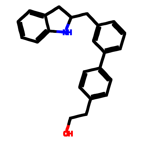 OCCc1ccc(-c2cccc(CC3Cc4ccccc4N3)c2)cc1